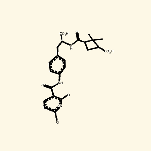 CC1(C)C(C(=O)O)CC1C(=O)N[C@@H](Cc1ccc(NC(=O)c2ccc(Cl)nc2Cl)cc1)C(=O)O